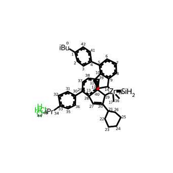 CCC(C)c1ccc(-c2cccc3c2C=C(C)[CH]3[Zr]([CH3])([CH3])(=[SiH2])[CH]2C(C3CCCCC3)=Cc3c(-c4ccc(C(C)C)cc4)cccc32)cc1.Cl.Cl